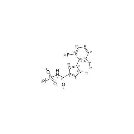 CC(C)S(=O)(=O)NC(=O)c1cn(C)c(-c2c(F)cccc2F)n1